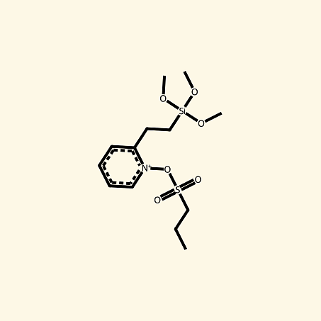 CCCS(=O)(=O)O[n+]1ccccc1CC[Si](OC)(OC)OC